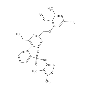 CCc1cc(COc2cc(C)nc(C)c2OC)ccc1-c1ccccc1S(=O)(=O)Nc1noc(C)c1C